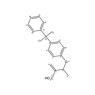 C=C(C(=O)O)C(C)Oc1ccc(C(C)(C)c2ccccc2)cc1